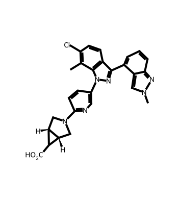 Cc1c(Cl)ccc2c(-c3cccc4nn(C)cc34)nn(-c3ccc(N4C[C@@H]5C(C(=O)O)[C@@H]5C4)nc3)c12